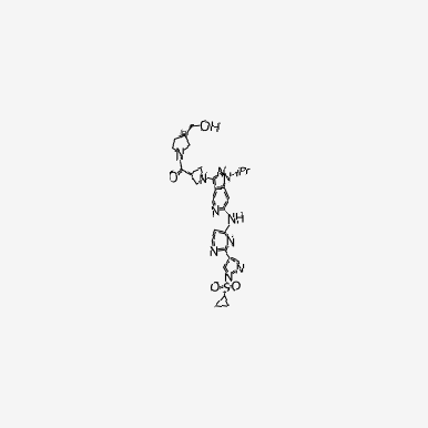 CC(C)n1nc(N2CC(C(=O)N3CC[C@@H](CO)C3)C2)c2cnc(Nc3ccnc(-c4cnn(S(=O)(=O)C5CC5)c4)n3)cc21